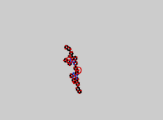 CC1(C)c2cc(-c3ccc4ccccc4c3)ccc2-c2ccc(N(c3ccc4oc5cc(-c6ccc(-c7ccccc7)c(N(c7ccc8c(c7)C(C)(C)c7cc(-c9ccc%10ccccc%10c9)ccc7-8)c7cccc8c7oc7ccccc78)c6)ccc5c4c3)c3ccccc3-c3ccccc3)cc21